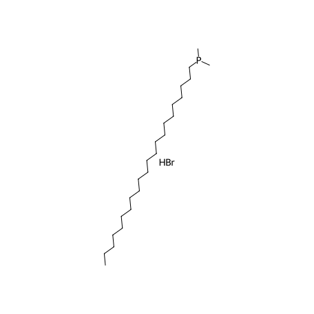 Br.CCCCCCCCCCCCCCCCCCCCCCP(C)C